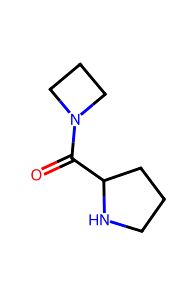 O=C(C1CCCN1)N1CCC1